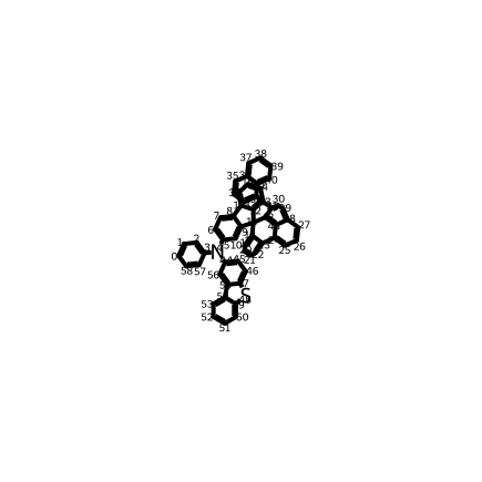 c1ccc(N(c2ccc3c(c2)C2(c4ccccc4-3)c3ccccc3-c3cccc4ccc(-c5cccc6ccccc56)c2c34)c2ccc3sc4ccccc4c3c2)cc1